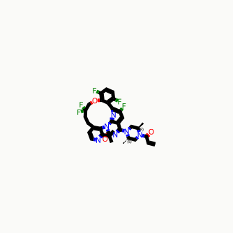 C=CC(=O)N1C[C@H](C)N(c2nc(=O)n3c4nc(c(F)cc24)-c2c(F)ccc(F)c2OCC(F)(F)CCc2ccnc(C(C)C)c2-3)C[C@H]1C